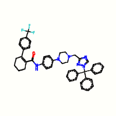 O=C(Nc1ccc(N2CCN(Cc3ncn(C(c4ccccc4)(c4ccccc4)c4ccccc4)n3)CC2)cc1)C1=C(c2ccc(C(F)(F)F)cc2)CCCC1